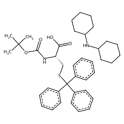 C1CCC(NC2CCCCC2)CC1.CC(C)(C)OC(=O)N[C@@H](CSC(c1ccccc1)(c1ccccc1)c1ccccc1)C(=O)O